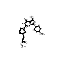 CCCNC(=O)C=Cc1cccc(-c2nn3c(c(CC)nc3[C@H]3CC[C@@H](C(C)(C)C)CC3)c(=O)[nH]2)c1